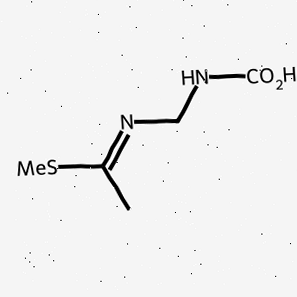 CSC(C)=NCNC(=O)O